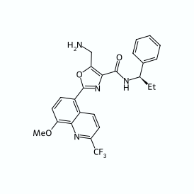 CC[C@@H](NC(=O)c1nc(-c2ccc(OC)c3nc(C(F)(F)F)ccc23)oc1CN)c1ccccc1